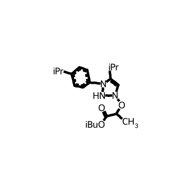 CC(C)COC(=O)C(C)ON1C=C(C(C)C)N(c2ccc(C(C)C)cc2)N1